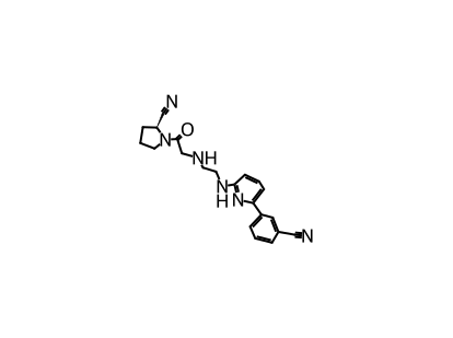 N#Cc1cccc(-c2cccc(NCCNCC(=O)N3CCC[C@H]3C#N)n2)c1